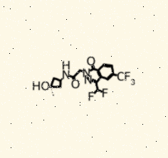 C[C@]1(O)C[C@@H](NC(=O)Cn2nc(C(F)F)c3cc(C(F)(F)F)ccc3c2=O)C1